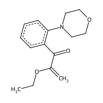 C=C(OCC)C(=O)c1ccccc1N1CCOCC1